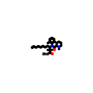 C=CCCCCCCC(N(C(=O)C1CCCCN1C)c1c(C)cccc1C)C(C)(C)C(=O)OC